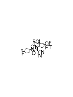 O=C(NC1CCC(F)(F)CC1)C(c1cncnc1)N(C(=O)C(F)Cl)c1ccc(OC(F)(F)F)cc1F